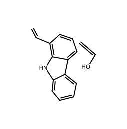 C=CO.C=Cc1cccc2c1[nH]c1ccccc12